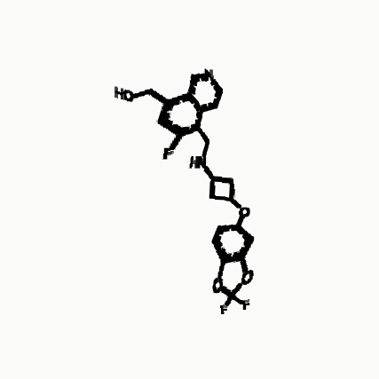 OCc1cc(F)c(CNC2CC(Oc3ccc4c(c3)OC(F)(F)O4)C2)c2ccncc12